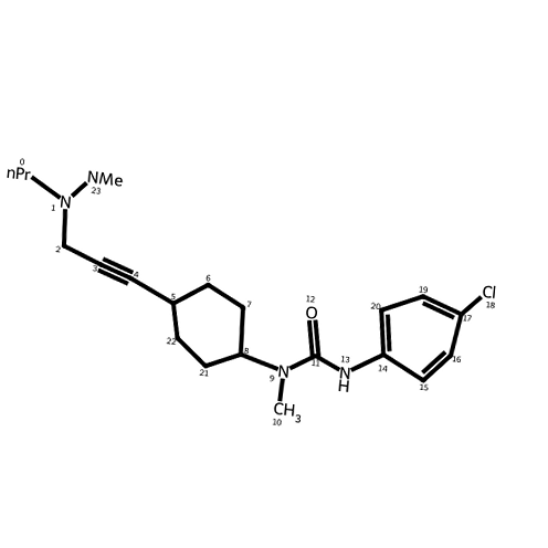 CCCN(CC#CC1CCC(N(C)C(=O)Nc2ccc(Cl)cc2)CC1)NC